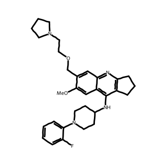 COc1cc2c(NC3CCN(c4ccccc4F)CC3)c3c(nc2cc1COCCN1CCCC1)CCC3